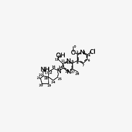 COc1nc(Cl)ccc1-c1nc(CO)c(N2CCC3(CCCC3N)CC2)nc1C